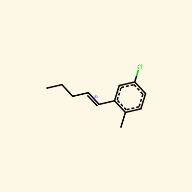 CCC/C=C/c1cc(Cl)ccc1C